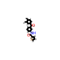 Cc1ccc(C(=O)c2cccc(NC(=O)c3cccs3)c2)cc1C